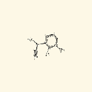 C#C[C](C)c1cccc(C)c1C